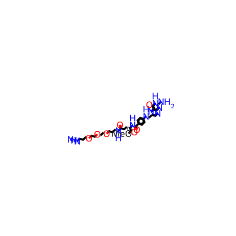 COC(=O)[C@H](CCC(=O)NCCCOCCOCCOCCCN=[N+]=[N-])NC(=O)c1ccc(NCc2cnc3nc(N)[nH]c(=O)c3n2)cc1